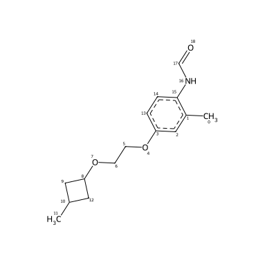 Cc1cc(OCCOC2CC(C)C2)ccc1NC=O